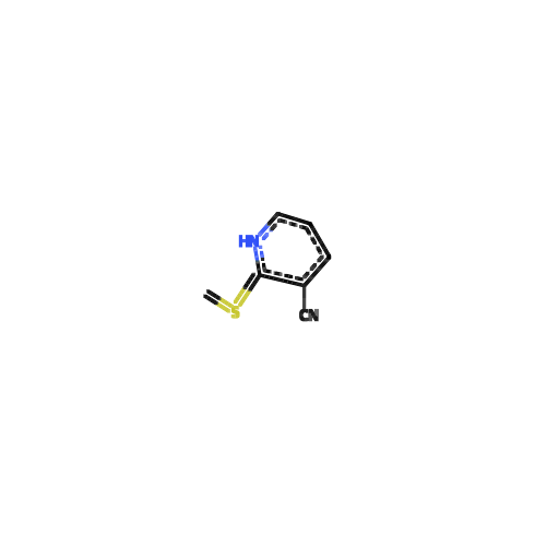 C=S=c1[nH]cccc1C#N